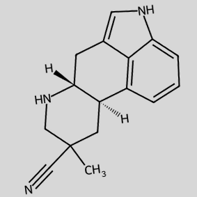 CC1(C#N)CN[C@@H]2Cc3c[nH]c4cccc(c34)[C@H]2C1